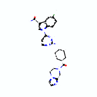 NC(=O)c1cn(-c2ccnc(N[C@H]3CC[C@H](C(=O)N4CCn5ccnc5C4)CC3)n2)c2ccc(F)cc12